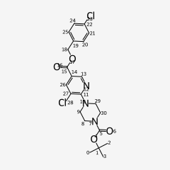 CC(C)(C)OC(=O)N1CCN(c2ncc(C(=O)OCc3ccc(Cl)cc3)cc2Cl)CC1